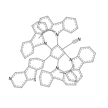 Cc1cccc2c3ccccc3n(-c3c(C#N)c(-n4c5ccccc5c5cccc(C)c54)c(-n4c5ccccc5c5cccc(C)c54)c(-c4ccc5c(c4)sc4ccncc45)c3-n3c4ccccc4c4cccc(C)c43)c12